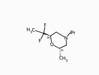 CC(C)N1C[C@H](C)O[C@@H](C(C)(F)F)C1